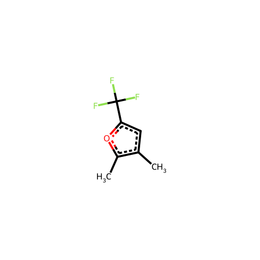 Cc1cc(C(F)(F)F)oc1C